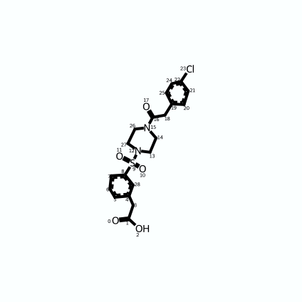 O=C(O)Cc1cccc(S(=O)(=O)N2CCN(C(=O)Cc3ccc(Cl)cc3)CC2)c1